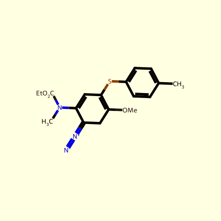 CCOC(=O)N(C)C1=CC(Sc2ccc(C)cc2)=C(OC)CC1=[N+]=[N-]